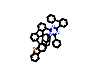 c1ccc(-c2nc(-c3ccccc3-c3ccccc3)nc(-c3cccc4c3C3(c5c-4cccc5-c4cccc5c4sc4ccccc45)C4CC5CC(C4)CC3C5)n2)cc1